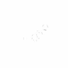 O=C(Nc1ccn(C2OC(CO)C(O)C2O)c(=O)n1)c1ccccc1